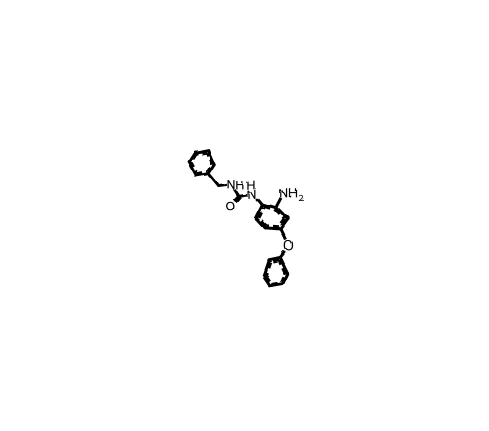 Nc1cc(Oc2ccccc2)ccc1NC(=O)NCc1ccccc1